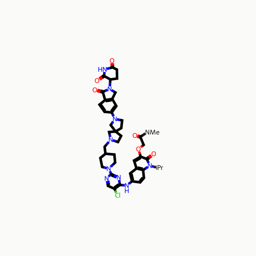 CNC(=O)COc1cc2cc(Nc3nc(N4CCC(CN5CCC6(CCN(c7ccc8c(c7)CN(C7CCC(=O)NC7=O)C8=O)C6)C5)CC4)ncc3Cl)ccc2n(C(C)C)c1=O